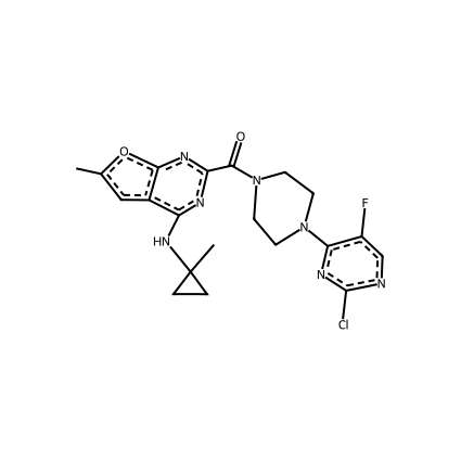 Cc1cc2c(NC3(C)CC3)nc(C(=O)N3CCN(c4nc(Cl)ncc4F)CC3)nc2o1